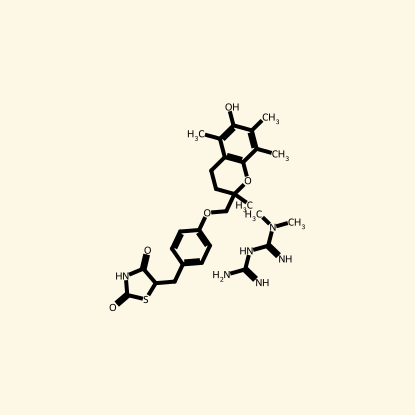 CN(C)C(=N)NC(=N)N.Cc1c(C)c2c(c(C)c1O)CCC(C)(COc1ccc(CC3SC(=O)NC3=O)cc1)O2